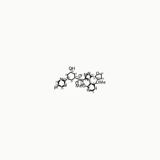 COc1ncnc(OC)c1-n1c(NS(=O)(=O)[C@@H]2C[C@@H](O)CN(c3ncc(F)cn3)C2)nnc1[C@@H]1CCCO1